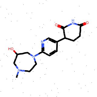 CN1CCN(c2ccc(C3CCC(=O)NC3=O)cn2)CC(O)C1